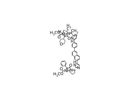 COC(=O)N[C@H](C(=O)N(C(C)C)[C@@H](C)c1ncc(-c2ccc(-c3ccc4cc(-c5cnc([C@@H]6CCCN6C(=O)[C@H](NC(=O)OC)c6ccccc6)[nH]5)ccc4c3)cc2)[nH]1)C1CCOCC1